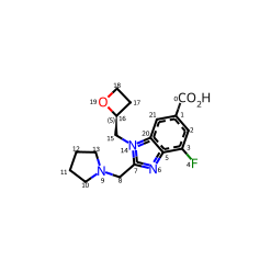 O=C(O)c1cc(F)c2nc(CN3CCCC3)n(C[C@@H]3CCO3)c2c1